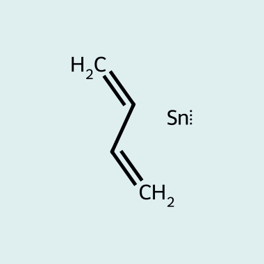 C=CC=C.[Sn]